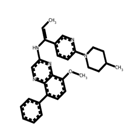 C/C=C(/Nc1cnc2c(-c3ccccc3)ccc(OC)c2n1)c1ccc(N2CCC(C)CC2)nc1